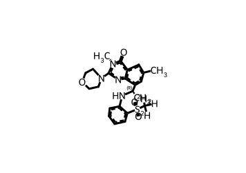 [2H]C([2H])([2H])S(=O)(=O)c1ccccc1N[C@H](C)c1cc(C)cc2c(=O)n(C)c(N3CCOCC3)nc12